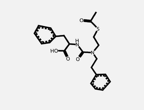 CC(=O)SCCN(CCc1ccccc1)C(=O)NC(Cc1ccccc1)C(=O)O